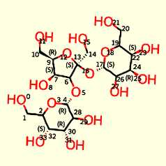 OCC1O[C@H](OC2[C@@H](O)[C@@H](CO)O[C@@]2(CO)O[C@@H]2OC(CO)[C@@H](O)[C@@H](O)C2O)C(O)[C@H](O)[C@@H]1O